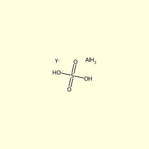 O=S(=O)(O)O.[AlH3].[Y]